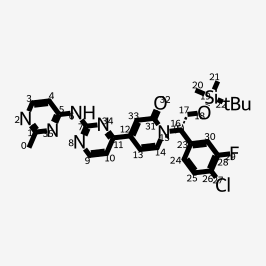 Cc1nccc(Nc2nccc(-c3ccn([C@H](CO[Si](C)(C)C(C)(C)C)c4ccc(Cl)c(F)c4)c(=O)c3)n2)n1